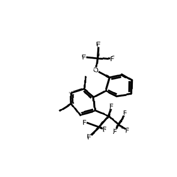 Cc1[c]c(C)c(-c2ccccc2OC(F)(F)F)c(C(F)(C(F)(F)F)C(F)(F)F)c1